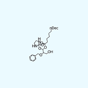 CCCCCCCCCCCCCCCC(=O)OC(OP1(=O)NCCN1)C(CO)OCc1ccccc1